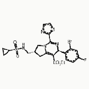 CCOC(=O)C1=C2C[C@H](CNS(=O)(=O)C3CC3)CN2C(c2nccs2)=N[C@H]1c1ccc(F)cc1Br